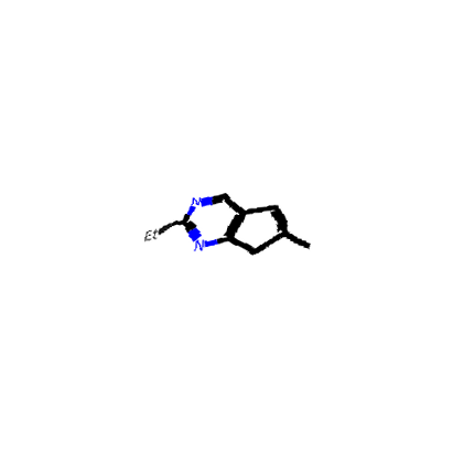 CCc1ncc2c(n1)CC(C)=C2